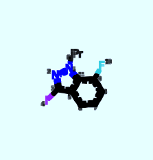 CC(C)n1nc(I)c2cccc(F)c21